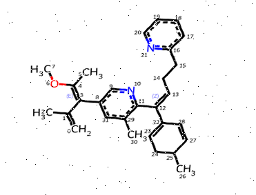 C=C(C)/C(=C(/C)OC)c1cnc(/C(=C\CCc2ccccn2)C2=CCC(C)C=C2)c(C)c1